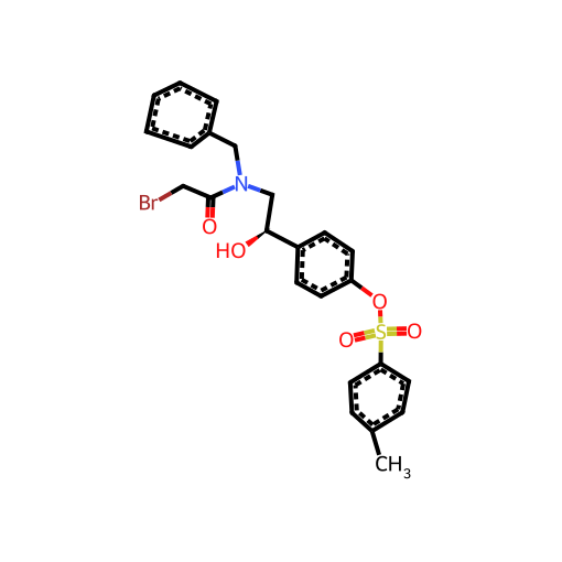 Cc1ccc(S(=O)(=O)Oc2ccc([C@@H](O)CN(Cc3ccccc3)C(=O)CBr)cc2)cc1